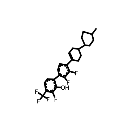 CC1CCC(C2CC=C(c3ccc(-c4ccc(C(F)(F)F)c(F)c4O)c(F)c3F)CC2)CC1